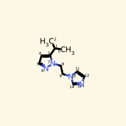 CC(C)c1ccnn1CCn1ccnc1